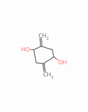 C=C1CC(O)C(=C)CC1O